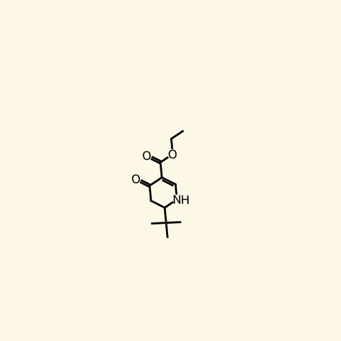 CCOC(=O)C1=CNC(C(C)(C)C)CC1=O